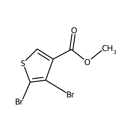 COC(=O)c1csc(Br)c1Br